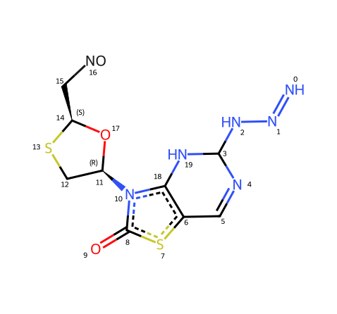 N=NNC1N=Cc2sc(=O)n([C@H]3CS[C@@H](CN=O)O3)c2N1